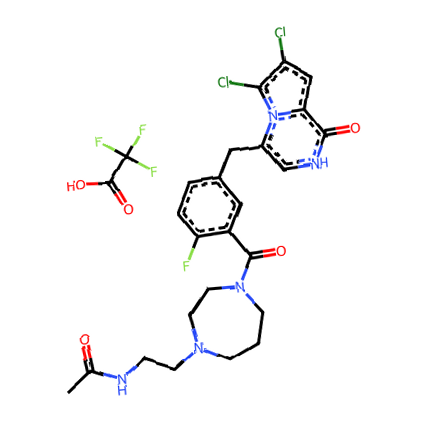 CC(=O)NCCN1CCCN(C(=O)c2cc(Cc3c[nH]c(=O)c4cc(Cl)c(Cl)n34)ccc2F)CC1.O=C(O)C(F)(F)F